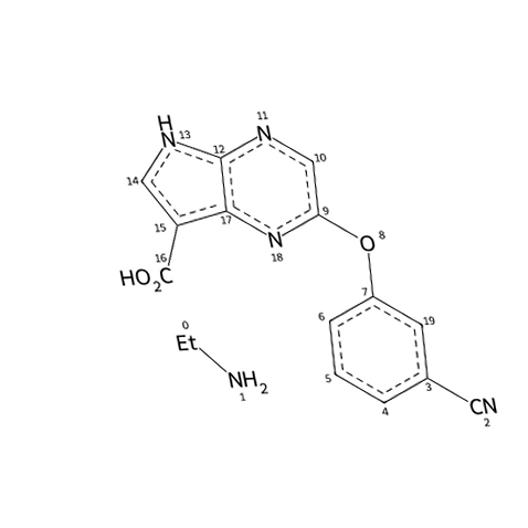 CCN.N#Cc1cccc(Oc2cnc3[nH]cc(C(=O)O)c3n2)c1